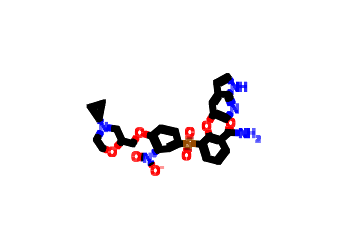 NC(=O)c1cccc(S(=O)(=O)c2ccc(OCC3CN(C4CC4)CCO3)c([N+](=O)[O-])c2)c1Oc1cnc2[nH]ccc2c1